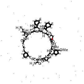 CC[C@H](C)[C@@H]1NC(=O)[C@@H]2CCCN2C(=O)[C@H](Cc2c[nH]c3ccc(F)cc23)NC(=O)[C@H](Cc2c[nH]c3ccc(F)cc23)NC(=O)[C@@H](C)NC(=O)[C@H](CCCCN)NC(=O)CCSCc2cccc(c2)CSC[C@@H](C(N)=O)NC(=O)[C@]2(C)CCCN2C(=O)[C@H](Cc2ccc(OC)cc2)NC1=O